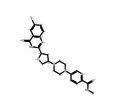 CNC(=O)c1ccc(N2CCN(C3COC(c4nc5ccc(F)cc5c(=O)[nH]4)C3)CC2)cn1